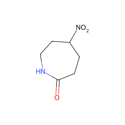 O=C1CCC([N+](=O)[O-])CCN1